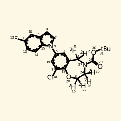 [2H]C1([2H])c2cc(-n3ccc4cc(F)ccc43)cc(Cl)c2OC([2H])([2H])C([2H])([2H])N1C(=O)OC(C)(C)C